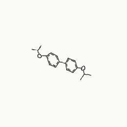 CC(C)Oc1ccc(-c2ccc(OC(C)C)cc2)cc1